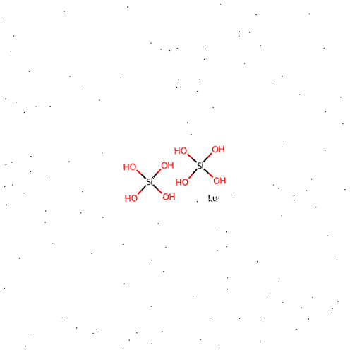 O[Si](O)(O)O.O[Si](O)(O)O.[Lu]